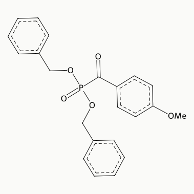 COc1ccc(C(=O)P(=O)(OCc2ccccc2)OCc2ccccc2)cc1